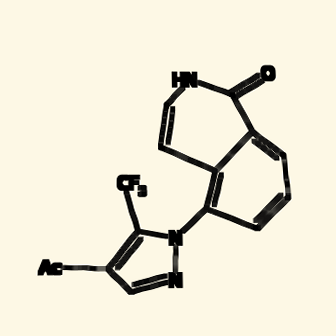 CC(=O)c1cnn(-c2cccc3c(=O)[nH]ccc23)c1C(F)(F)F